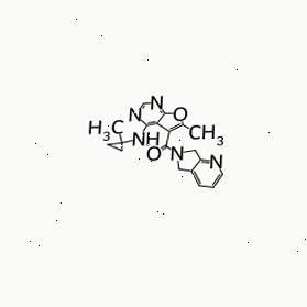 Cc1oc2ncnc(NC3(C)CC3)c2c1C(=O)N1Cc2cccnc2C1